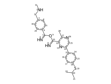 CNCc1ccc(C(=N)OC(=N)c2nc(-c3ccc(SC(C)C)cc3)cnc2C)cc1